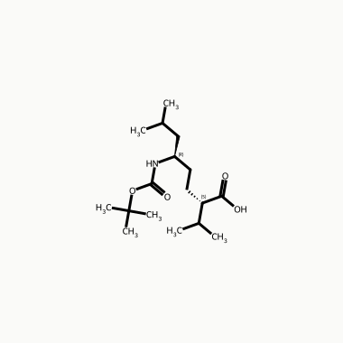 CC(C)C[C@@H](CC[C@H](C(=O)O)C(C)C)NC(=O)OC(C)(C)C